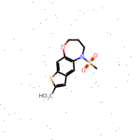 CS(=O)(=O)N1CCCOc2cc3sc(C(=O)O)cc3cc21